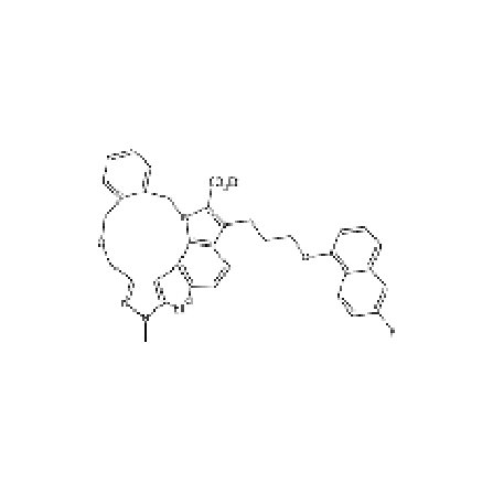 CCOC(=O)c1c(CCCOc2cccc3cc(F)ccc23)c2ccc(Cl)c3c2n1Cc1ccccc1COCc1nn(C)c(CC)c1-3